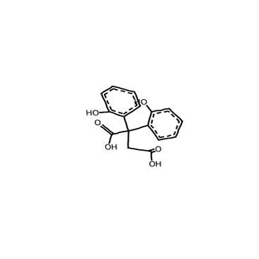 O=C(O)CC(C(=O)O)(c1ccccc1O)c1ccccc1O